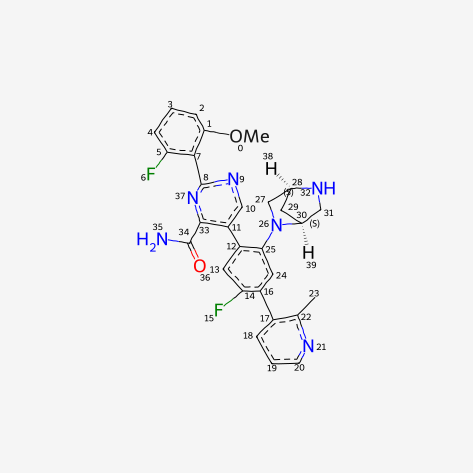 COc1cccc(F)c1-c1ncc(-c2cc(F)c(-c3cccnc3C)cc2N2C[C@@H]3C[C@H]2CN3)c(C(N)=O)n1